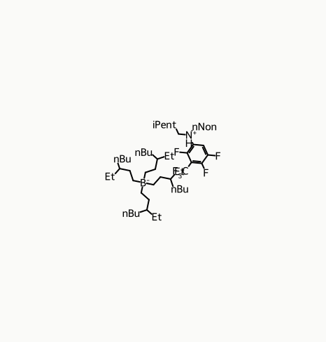 CCCCC(CC)CC[B-](CCC(CC)CCCC)(CCC(CC)CCCC)CCC(CC)CCCC.CCCCCCCCC[NH+](CC(C)CCC)c1cc(F)c(F)c(C(F)(F)F)c1F